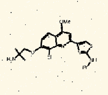 COc1cc(-c2csc(NC(C)C)n2)nc2c(Cl)c(OCC(C)(C)N)ccc12